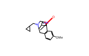 COc1ccc2c(c1)C13CCN(CC4CC4)C(C2)C1CCNC(=O)C3